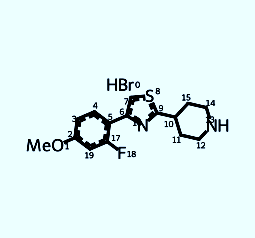 Br.COc1ccc(-c2csc(C3CCNCC3)n2)c(F)c1